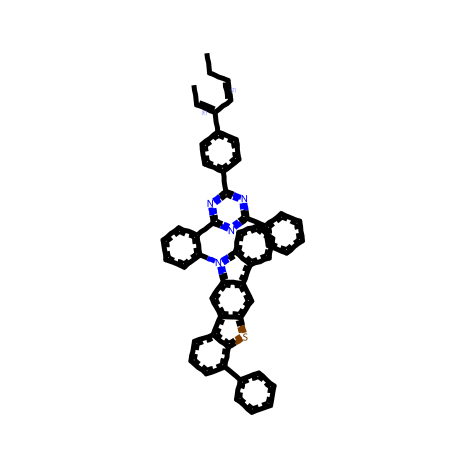 C/C=C(\C=C/CC)c1ccc(-c2nc(-c3ccccc3)nc(-c3ccccc3-n3c4ccccc4c4cc5sc6c(-c7ccccc7)cccc6c5cc43)n2)cc1